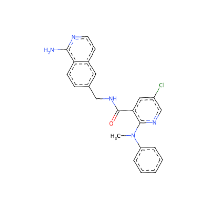 CN(c1ccccc1)c1ncc(Cl)cc1C(=O)NCc1ccc2c(N)nccc2c1